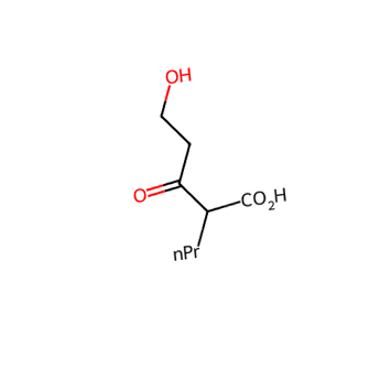 CCCC(C(=O)O)C(=O)CCO